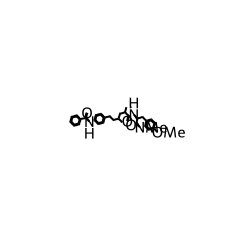 [CH2]C(CC(C)CCc1ccc(NC(=O)c2ccccc2)cc1)C(=O)NC(Cc1ccc(OC)cc1)C(=O)NC